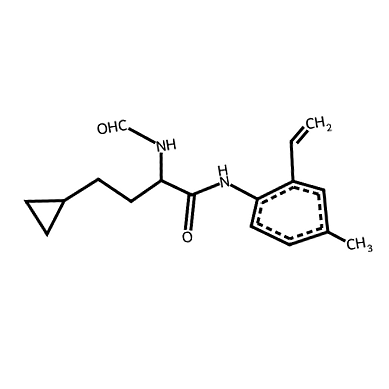 C=Cc1cc(C)ccc1NC(=O)C(CCC1CC1)NC=O